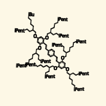 CCCC(C)CCCCC(CCC(C)CCC)COc1cc(OCC(CCCCC(C)CCC)CCC(C)CCC)c(/C=C/c2ccc(/C=C/c3c(OCC(CCCCC(C)CCC)CCC(C)CCC)cc(OCC(CCCCC(C)CC)CCC(C)CCC)cc3OCC(CCCCC(C)CCC)CCC(C)CCC)cc2)c(OCC(CCCCC(C)CCC)CCC(C)CCC)c1